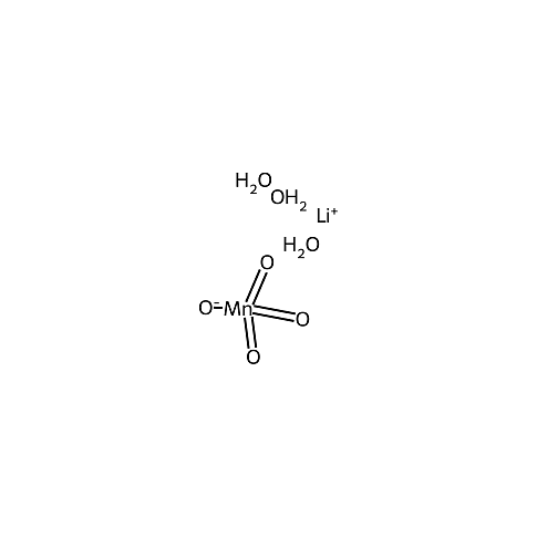 O.O.O.[Li+].[O]=[Mn](=[O])(=[O])[O-]